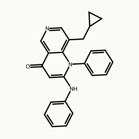 O=c1cc(Nc2ccccc2)n(-c2ccccc2)c2c(CC3CC3)cncc12